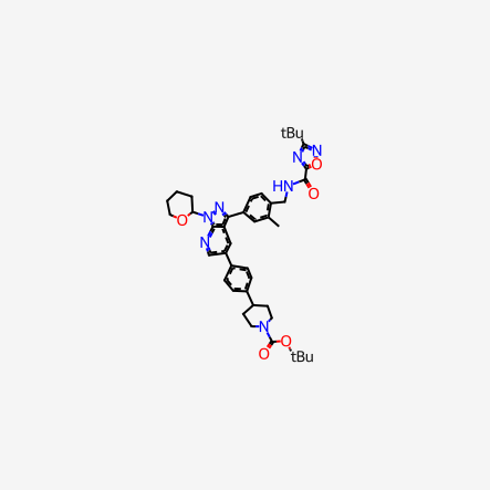 Cc1cc(-c2nn(C3CCCCO3)c3ncc(-c4ccc(C5CCN(C(=O)OC(C)(C)C)CC5)cc4)cc23)ccc1CNC(=O)c1nc(C(C)(C)C)no1